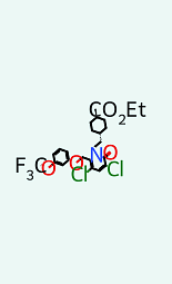 CCOC(=O)[C@H]1CC[C@H](CCn2c(COc3cccc(OC(F)(F)F)c3)c(Cl)cc(Cl)c2=O)CC1